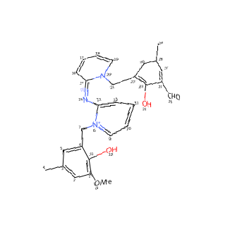 COc1cc(C)cc(C[n+]2ccccc2/N=c2/ccccn2CC2=C(O)C(C=O)=CC(C)C2)c1O